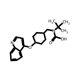 CC(C)(C)N(CC1CCC(Oc2ccnc3ccccc23)CC1)C(=O)O